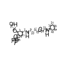 OCCOc1cc(CNCCCCOCCNc2ccccc2)ccc1OC(F)(F)F